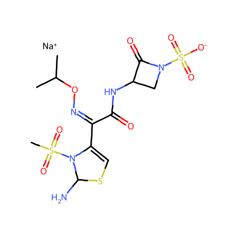 CC(C)ON=C(C(=O)NC1CN(S(=O)(=O)[O-])C1=O)C1=CSC(N)N1S(C)(=O)=O.[Na+]